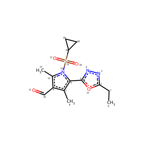 CCc1nnc(-c2c(C)c(C=O)c(C)n2S(=O)(=O)C2CC2)o1